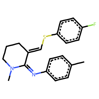 Cc1ccc(N=C2C(=CSc3ccc(F)cc3)CCCN2C)cc1